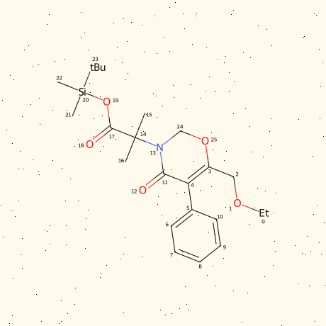 CCOCC1=C(c2ccccc2)C(=O)N(C(C)(C)C(=O)O[Si](C)(C)C(C)(C)C)CO1